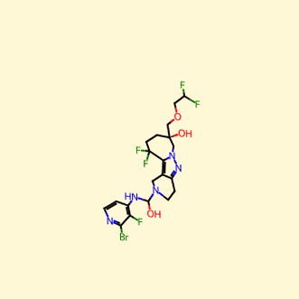 OC(Nc1ccnc(Br)c1F)N1CCc2nn3c(c2C1)C(F)(F)CC[C@](O)(COCC(F)F)C3